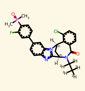 [2H]C([2H])([2H])C([2H])([2H])N1C(=O)c2cccc(Cl)c2[C@H]2C[C@@H]1c1nc3ccc(-c4ccc(P(C)(C)=O)c(F)c4)cc3n12